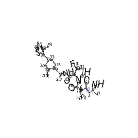 CC(=N)/C=C(\O)[C@H](C(=O)N1CC[C@H](F)C1C(=O)NC(C)c1ccc(-c2scnc2C)cc1I)C(C)C